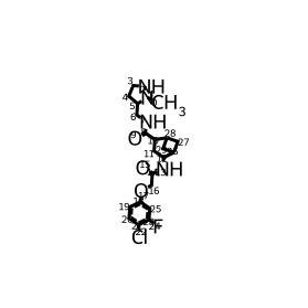 CN1NCCC1CNC(=O)C1CC(NC(=O)COc2ccc(Cl)c(F)c2)C2CC1C2